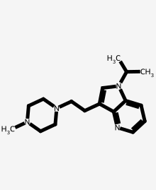 CC(C)n1cc(CCN2CCN(C)CC2)c2ncccc21